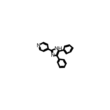 c1ccc(-c2nc(-c3ccncc3)[nH]c2-c2ccccc2)cc1